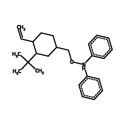 C=CC1CCC(CO[SiH](c2ccccc2)c2ccccc2)CC1C(C)(C)C